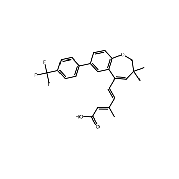 CC(C=CC1=CC(C)(C)COc2ccc(-c3ccc(C(F)(F)F)cc3)cc21)=CC(=O)O